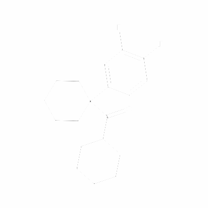 O=C(C1CCCCC1)C1(c2ccc(F)c(F)c2)CCCCC1